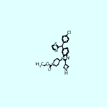 CCOC(=O)N1CCC(n2c(C3CNC3)nc3ccc(C(c4ccc(Cl)cc4)c4nccs4)cc32)CC1